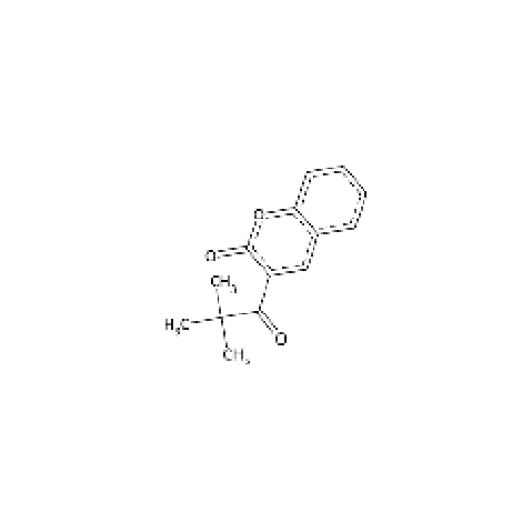 CC(C)(C)C(=O)c1cc2ccccc2oc1=O